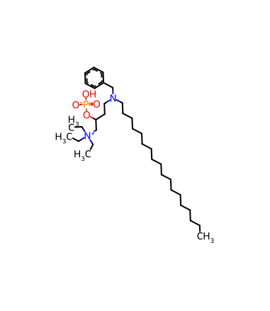 CCCCCCCCCCCCCCCCCCN(CCC(C[N+](CC)(CC)CC)OP(=O)([O-])O)Cc1ccccc1